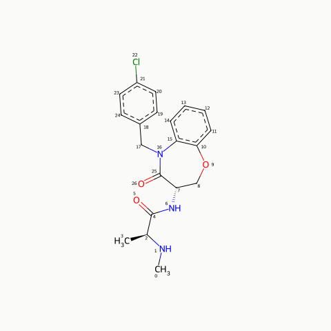 CN[C@@H](C)C(=O)N[C@H]1COc2ccccc2N(Cc2ccc(Cl)cc2)C1=O